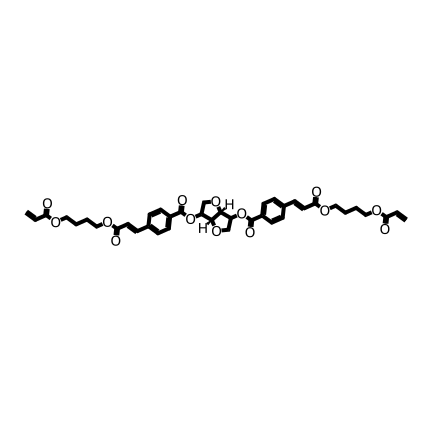 C=CC(=O)OCCCCOC(=O)/C=C/c1ccc(C(=O)OC2CO[C@@H]3C(OC(=O)c4ccc(/C=C/C(=O)OCCCCOC(=O)C=C)cc4)CO[C@H]23)cc1